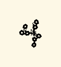 c1ccc(-c2ccc3c(c2)c2ccccc2n3-c2nc(-c3ccc4c(c3)sc3ccccc34)nc(-c3ccc4c5ccccc5n(-c5ccccc5)c4c3)n2)cc1